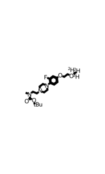 [2H]C([2H])([2H])OCCOc1ccc(N2CCN(CCN(C)C(=O)OC(C)(C)C)CC2)c(F)c1